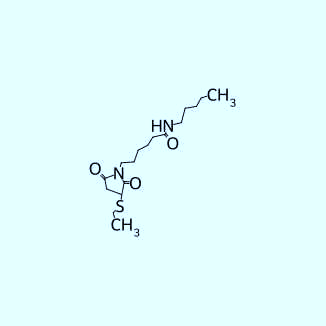 CCCCCNC(=O)CCCCCN1C(=O)CC(SCC)C1=O